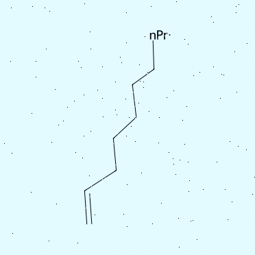 C=CCCCCC[CH]CC